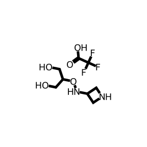 O=C(O)C(F)(F)F.OCC(CO)ONC1CNC1